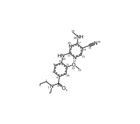 CCN(C)C(=O)c1ccc(Nc2ncc(C#N)c(NC)n2)c(OC)c1